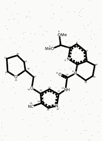 COC(OC)c1ccc2c(n1)N(C(=O)Nc1cc(OCC3CCCCO3)c(C#N)cn1)CCC2